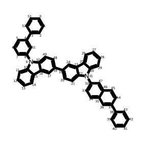 c1ccc(-c2cccc(-n3c4ccccc4c4cc(-c5ccc6c(c5)c5ccccc5n6-c5ccc6cc(-c7ccccc7)ccc6c5)ccc43)c2)cc1